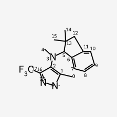 CC1=C(N(C)C2c3ccccc3CC2(C)C)C(C(F)(F)F)=N[N]1